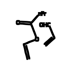 C=CC=O.C=COC(=O)CCC